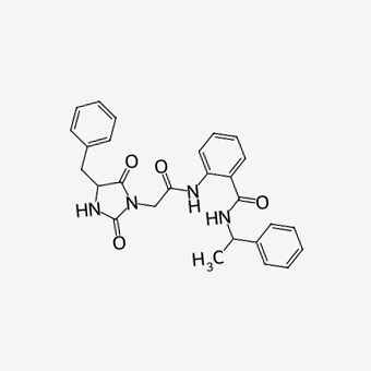 CC(NC(=O)c1ccccc1NC(=O)CN1C(=O)NC(Cc2ccccc2)C1=O)c1ccccc1